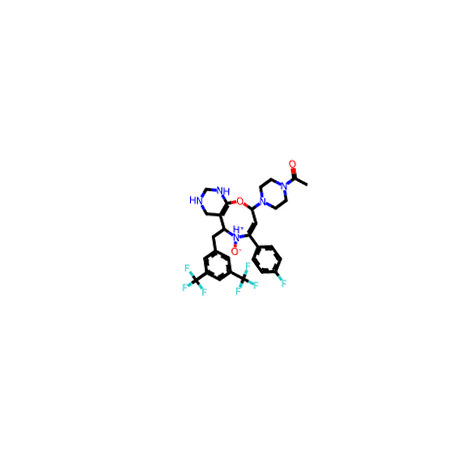 CC(=O)N1CCN(C2/C=C(/c3ccc(F)cc3)[NH+]([O-])C(Cc3cc(C(F)(F)F)cc(C(F)(F)F)c3)C3=C(NCNC3)O2)CC1